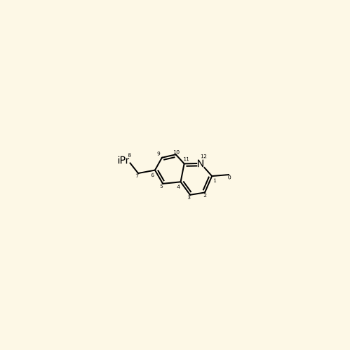 Cc1ccc2cc(CC(C)C)ccc2n1